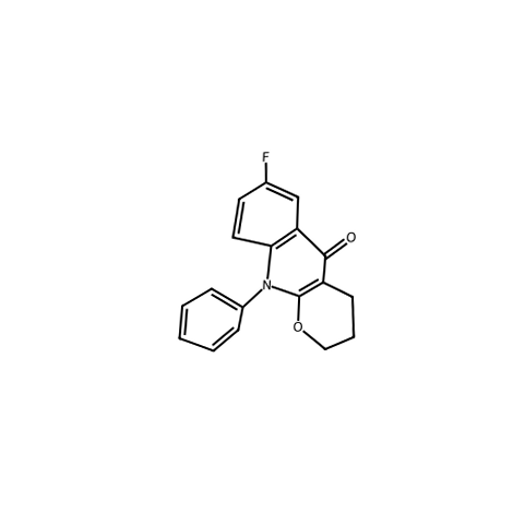 O=c1c2c(n(-c3ccccc3)c3ccc(F)cc13)OCCC2